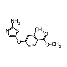 COC(=O)c1ccc(Oc2cnc(N)s2)cc1C